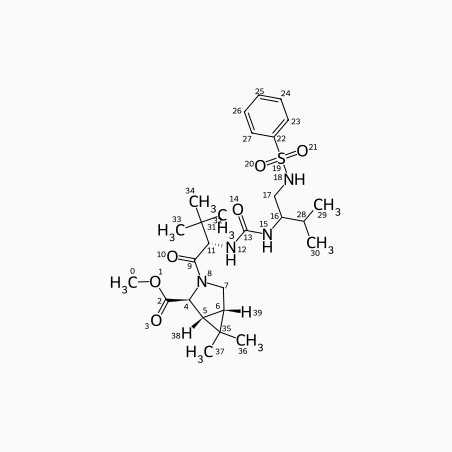 COC(=O)[C@@H]1[C@@H]2[C@H](CN1C(=O)[C@@H](NC(=O)NC(CNS(=O)(=O)c1ccccc1)C(C)C)C(C)(C)C)C2(C)C